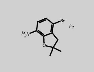 CC1(C)Cc2c(Br)ccc(N)c2O1.[Fe]